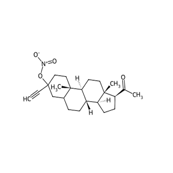 C#CC1(O[N+](=O)[O-])CC[C@@]2(C)C(CC[C@H]3[C@@H]4CC[C@H](C(C)=O)[C@@]4(C)CC[C@@H]32)C1